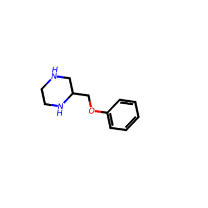 c1ccc(OCC2CNCCN2)cc1